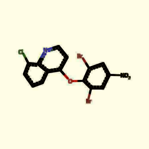 O=[N+]([O-])c1cc(Br)c(Oc2ccnc3c(Cl)cccc23)c(Br)c1